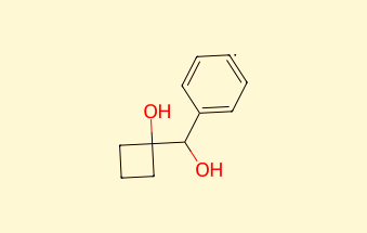 OC(c1cc[c]cc1)C1(O)CCC1